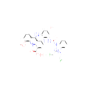 COc1cc(NC(=O)Nc2ccccc2N(CCCl)CCCl)cc(Nc2c3cccc(OC)c3nc3c(C(=O)O)cccc23)c1